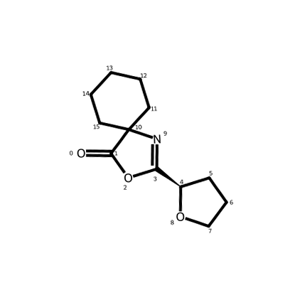 O=C1OC([C@H]2CCCO2)=NC12CCCCC2